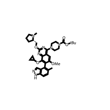 COc1cc2c(N3CCN(C(=O)OC(C)(C)C)CC3)nc(OC[C@@H]3CCCN3C)nc2c(OC2CC2)c1-c1c(C)ccc2[nH]ncc12